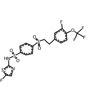 O=S(=O)(CCc1ccc(OC(F)(F)F)c(F)c1)c1ccc(S(=O)(=O)Nc2ncc(F)s2)cc1